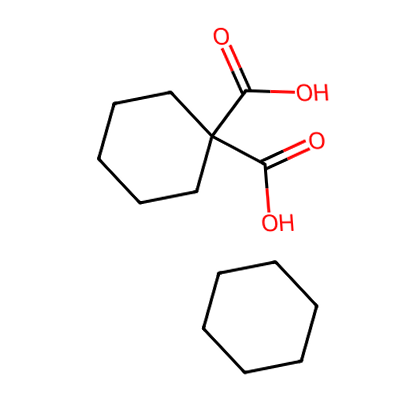 C1CCCCC1.O=C(O)C1(C(=O)O)CCCCC1